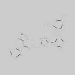 Cn1nnnc1/C(=N\OCc1nnc(-c2cc(Cl)ccc2Oc2ccc(F)cc2F)o1)c1ccccc1